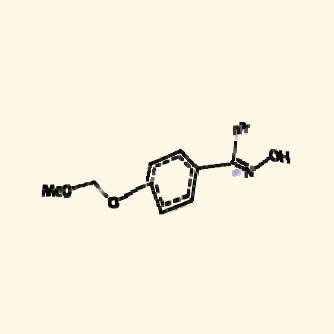 CCC/C(=N\O)c1ccc(OCOC)cc1